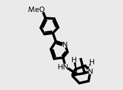 COc1ccc(-c2ccc(N[C@H]3C4CCN(CC4)[C@@H]3C)cn2)cc1